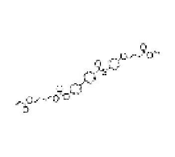 C=COC(=O)CCCOc1ccc(SC(=O)c2ccc(-c3ccc(OC(=O)OCCCCOC(=O)C=C)cc3)cc2)cc1